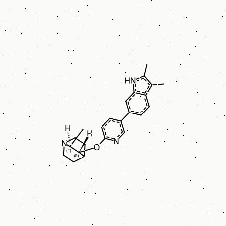 Cc1[nH]c2cc(-c3ccc(O[C@@H]4C5CCN(CC5)[C@H]4C)nc3)ccc2c1C